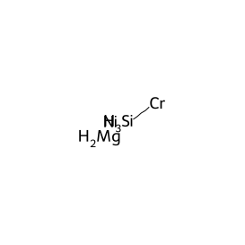 [MgH2].[Ni].[SiH3][Cr]